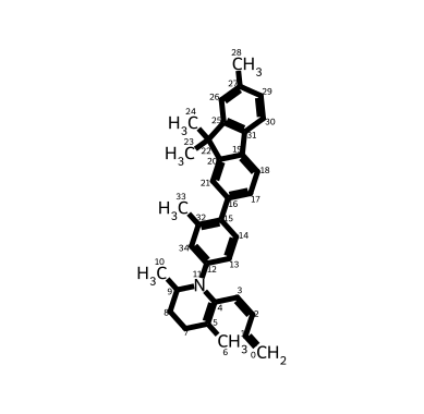 C=C/C=C\C1=C(C)CCC(C)N1c1ccc(-c2ccc3c(c2)C(C)(C)c2cc(C)ccc2-3)c(C)c1